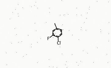 Cc1[c]cc(Cl)c(F)c1